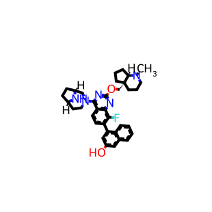 CN1CCC[C@@]2(COc3nc(N4CC[C@H]5CC[C@@H](C4)N5)c4ccc(-c5cc(O)cc6ccccc56)c(F)c4n3)CCC[C@@H]12